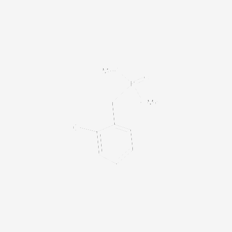 COP(=O)(Cc1ccccc1Cl)OC